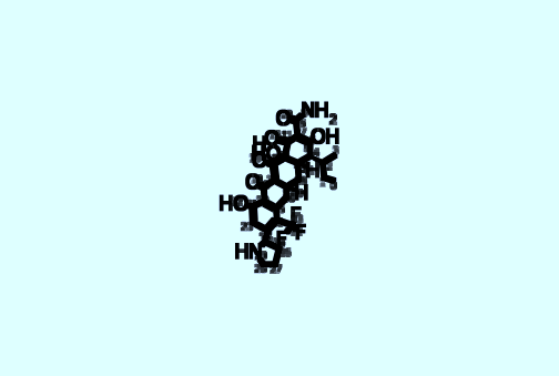 CCC(C)[C@@H]1C(O)=C(C(N)=O)C(=O)[C@@]2(O)C(O)=C3C(=O)c4c(O)cc(C5CCCN5)c(C(F)(F)F)c4C[C@H]3C[C@@H]12